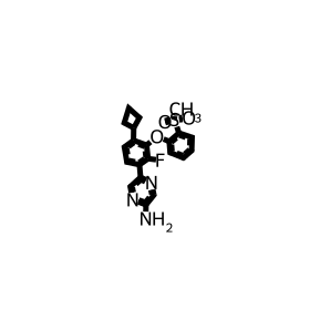 CS(=O)(=O)c1ccccc1Oc1c(C2CCC2)ccc(-c2cnc(N)cn2)c1F